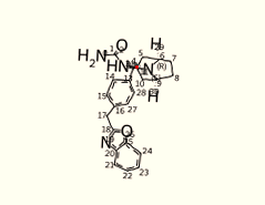 NC(=O)N[C@H]1C[C@H]2CC[C@@H](C1)N2Cc1ccc(Cc2nc3ccccc3o2)cc1